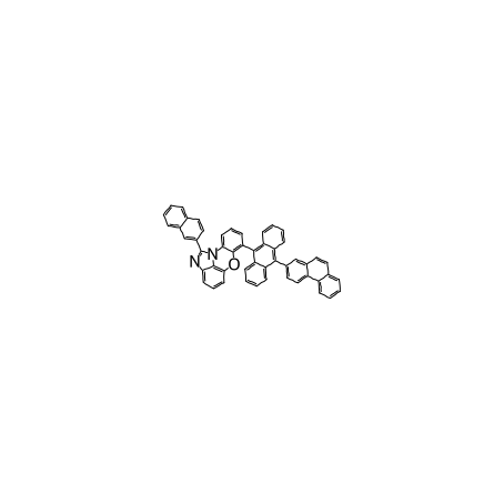 c1cc(-c2c3ccccc3c(-c3ccc4c(ccc5ccccc54)c3)c3ccccc23)c2c(c1)-n1c(-c3ccc4ccccc4c3)nc3cccc(c31)O2